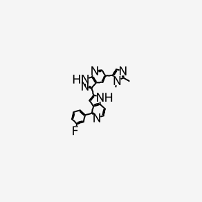 Cc1ncc(-c2cnc3[nH]nc(-c4cc5c(-c6cccc(F)c6)nccc5[nH]4)c3c2)n1C